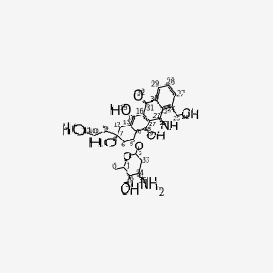 CC1OC(O[C@H]2C[C@](O)(CCO)Cc3c(O)c4c(c(O)c32)C(=N)c2c(CO)cccc2C4=O)CC(N)C1O